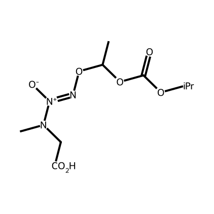 CC(C)OC(=O)OC(C)O/N=[N+](\[O-])N(C)CC(=O)O